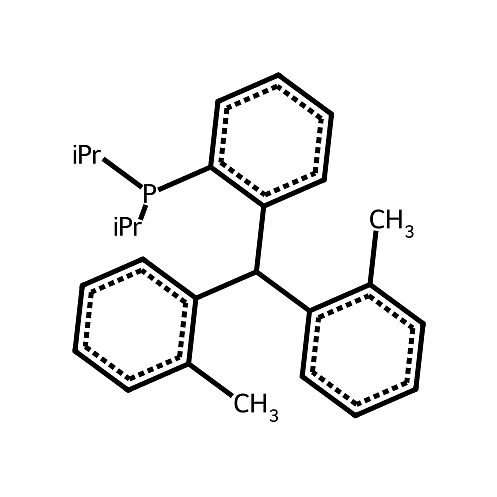 Cc1ccccc1C(c1ccccc1C)c1ccccc1P(C(C)C)C(C)C